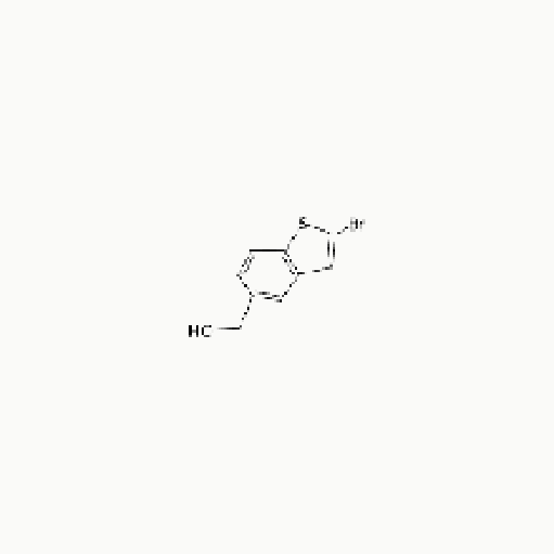 OCc1ccc2sc(Br)cc2c1